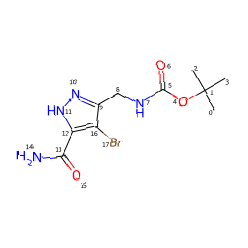 CC(C)(C)OC(=O)NCc1n[nH]c(C(N)=O)c1Br